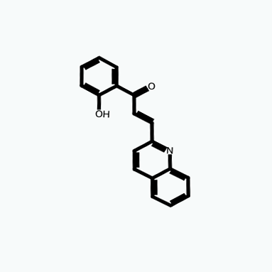 O=C(/C=C/c1ccc2ccccc2n1)c1ccccc1O